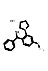 COc1ccc(C(N)c2ccccc2)c(N2CCCC2)c1.Cl